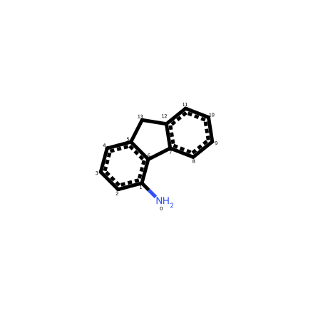 Nc1cccc2c1-c1ccccc1C2